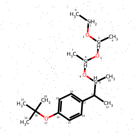 C[SiH2]O[SiH](C)O[SiH](C)O[SiH](C)C(C)c1ccc(OC(C)(C)C)cc1